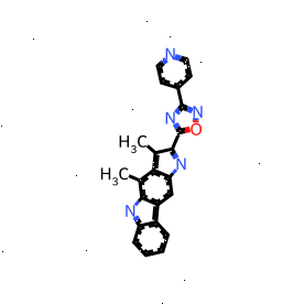 CC1=c2c(cc3c(c2C)N=c2ccccc2=3)N=C1c1nc(-c2ccncc2)no1